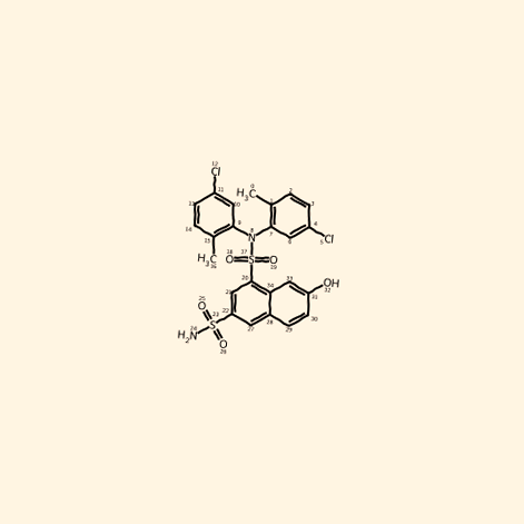 Cc1ccc(Cl)cc1N(c1cc(Cl)ccc1C)S(=O)(=O)c1cc(S(N)(=O)=O)cc2ccc(O)cc12